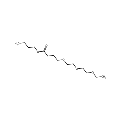 CCCCOC(=O)CCCOCCOCCOCC